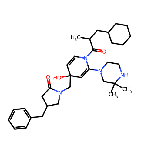 CC(CC1CCCCC1)C(=O)N1C=CC(O)(CN2CC(Cc3ccccc3)CC2=O)C=C1N1CCNC(C)(C)C1